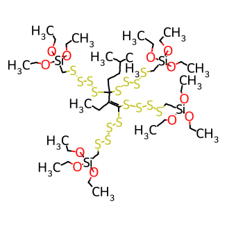 CCO[Si](CSSSSC(SSSSC[Si](OCC)(OCC)OCC)=C(CC)C(CCC(C)C)(SSSSC[Si](OCC)(OCC)OCC)SSSSC[Si](OCC)(OCC)OCC)(OCC)OCC